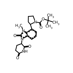 Cn1c(=O)n(C2CCC(=O)NC2=O)c2cccc(C3CCCN3C(=O)OC(C)(C)C)c21